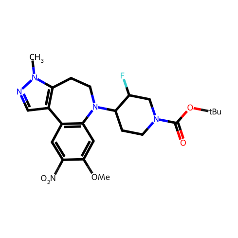 COc1cc2c(cc1[N+](=O)[O-])-c1cnn(C)c1CCN2C1CCN(C(=O)OC(C)(C)C)CC1F